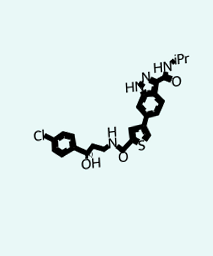 CC(C)NC(=O)c1n[nH]c2cc(-c3csc(C(=O)NCC[C@@H](O)c4ccc(Cl)cc4)c3)ccc12